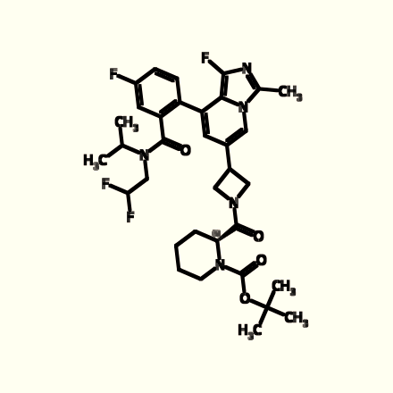 Cc1nc(F)c2c(-c3ccc(F)cc3C(=O)N(CC(F)F)C(C)C)cc(C3CN(C(=O)[C@@H]4CCCCN4C(=O)OC(C)(C)C)C3)cn12